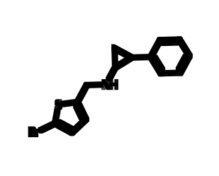 Brc1ccc(CNC2CC2c2ccccc2)s1